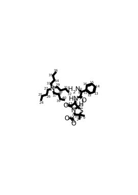 CC1(C)S[C@@H]2C(NC(=O)C(N)c3ccccc3)C(=O)N2[C@H]1C(=O)[O-].CCCC[N+](CCCC)(CCCC)CCCC